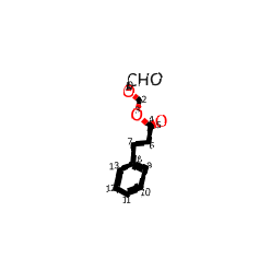 O=COCOC(=O)CCc1ccccc1